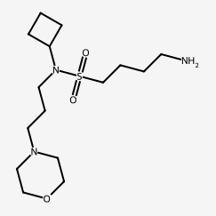 NCCCCS(=O)(=O)N(CCCN1CCOCC1)C1CCC1